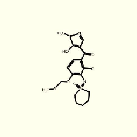 CSCOc1ccc(C(=O)c2cnn(C)c2O)c(Cl)c1N=S1(=O)CCCCC1